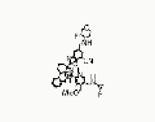 COCc1cc(C(=O)NC2(c3nc4cc(CN[C@@H]5CCOC[C@@H]5F)cc(C#N)c4o3)C=CC=C(c3ccccc3C)C2Cl)ncc1CN[C@@H]1C[C@@H]1F